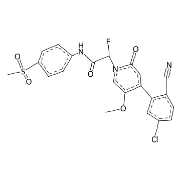 COc1cn(C(F)C(=O)Nc2ccc(S(C)(=O)=O)cc2)c(=O)cc1-c1cc(Cl)ccc1C#N